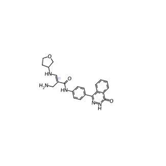 NC/C(=C\NC1CCOC1)C(=O)Nc1ccc(-c2n[nH]c(=O)c3ccccc23)cc1